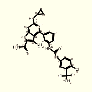 CC(F)(F)c1cc(NC(=O)Nc2cccc(-c3nc(NC4CC4)nc4sc(C(N)=O)c(N)c34)c2)ccc1Cl